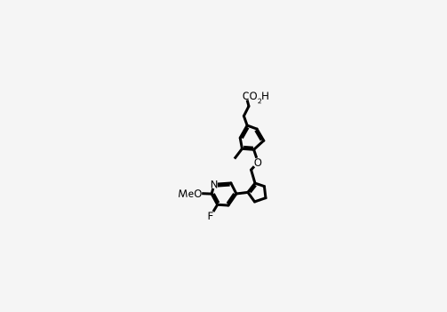 COc1ncc(C2=C(COc3ccc(CCC(=O)O)cc3C)CCC2)cc1F